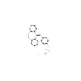 CCS(=O)(=O)Nc1ccc(C=C2c3ccccc3CCc3ccccc32)cc1